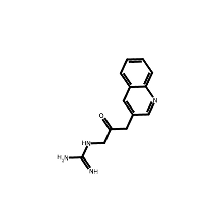 N=C(N)NCC(=O)Cc1cnc2ccccc2c1